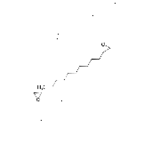 C1CO1.CCCCCCCCCCC1CO1